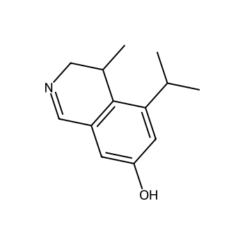 CC(C)c1cc(O)cc2c1C(C)CN=C2